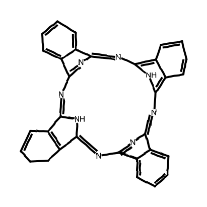 C1=Cc2c(c3nc4nc(nc5[nH]c(nc6nc(nc2[nH]3)-c2ccccc2-6)c2ccccc52)-c2ccccc2-4)CC1